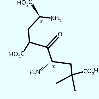 CC(C)(C[C@H](N)C(=O)C(C[C@H](N)C(=O)O)C(=O)O)C(=O)O